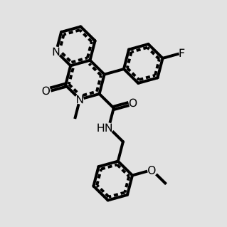 COc1ccccc1CNC(=O)c1c(-c2ccc(F)cc2)c2cccnc2c(=O)n1C